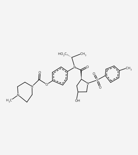 Cc1ccc(S(=O)(=O)N2CC(O)C[C@H]2C(=O)N(c2ccc(OC(=O)N3CCN(C)CC3)cc2)[C@@H](C)C(=O)O)cc1